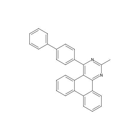 Cc1nc(-c2ccc(-c3ccccc3)cc2)c2c3ccccc3c3ccccc3c2n1